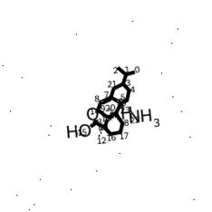 CC(C)C1CC[C@H]2C(=CCC3[C@](C)(C(=O)O)CCC[C@@]32C)C1.N